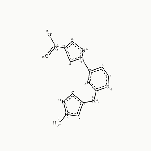 Cn1cc(Nc2nccc(-n3cc([N+](=O)[O-])cn3)n2)cn1